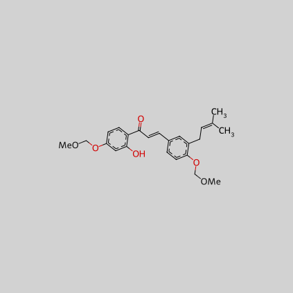 COCOc1ccc(C(=O)/C=C/c2ccc(OCOC)c(CC=C(C)C)c2)c(O)c1